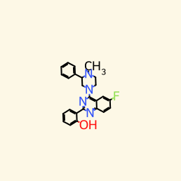 CN1CCN(c2nc(-c3ccccc3O)nc3ccc(F)cc23)CC1c1ccccc1